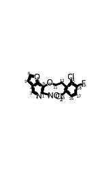 O=[N+]([O-])c1ncc2ccoc2c1OCCc1c(Cl)ccc(F)c1Cl